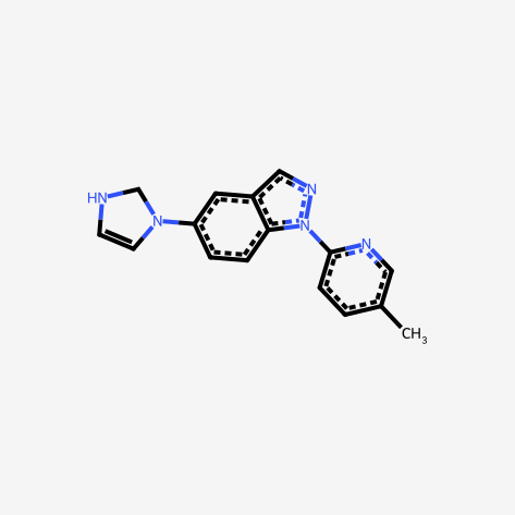 Cc1ccc(-n2ncc3cc(N4C=CNC4)ccc32)nc1